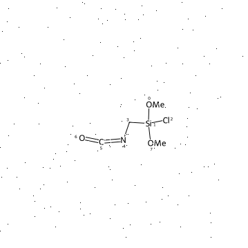 CO[Si](Cl)(CN=C=O)OC